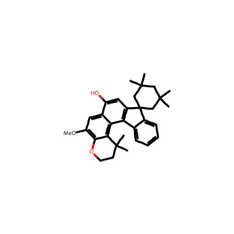 COc1cc2c(O)cc3c(c2c2c1OCCC2(C)C)-c1ccccc1C31CC(C)(C)CC(C)(C)C1